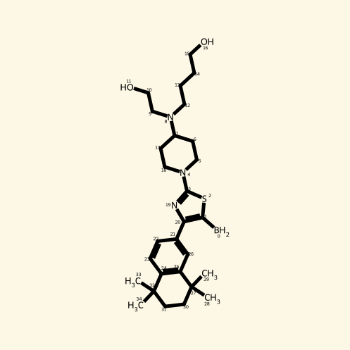 Bc1sc(N2CCC(N(CCO)CCCCO)CC2)nc1-c1ccc2c(c1)C(C)(C)CCC2(C)C